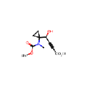 CCOC(=O)C#CC(O)C1(N(C)C(=O)OC(C)(C)C)CC1